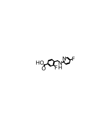 O=C(O)c1ccc(CNc2ccc(F)cn2)c(F)c1